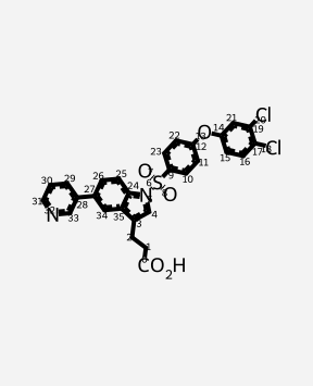 O=C(O)CCc1cn(S(=O)(=O)c2ccc(Oc3ccc(Cl)c(Cl)c3)cc2)c2ccc(-c3cccnc3)cc12